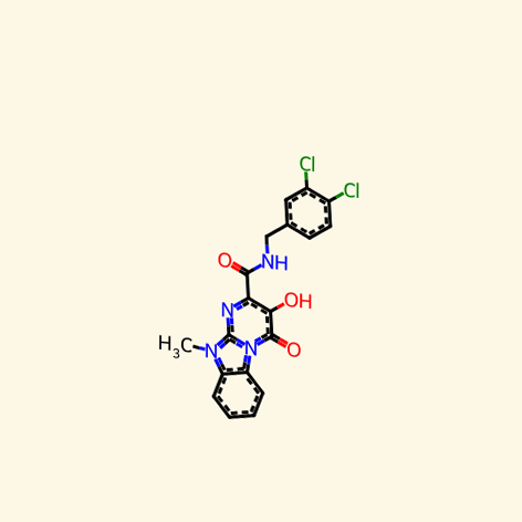 Cn1c2ccccc2n2c(=O)c(O)c(C(=O)NCc3ccc(Cl)c(Cl)c3)nc12